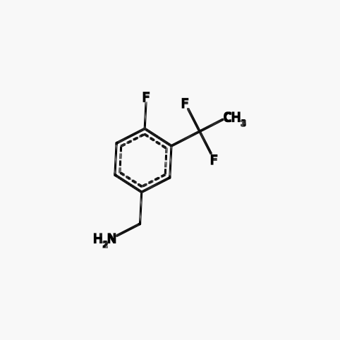 CC(F)(F)c1cc(CN)ccc1F